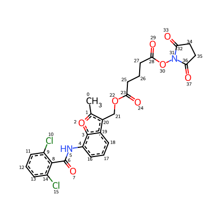 Cc1oc2c(NC(=O)c3c(Cl)cccc3Cl)cccc2c1COC(=O)CCCC(=O)ON1C(=O)CCC1=O